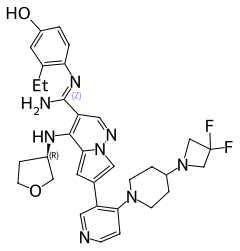 CCc1cc(O)ccc1/N=C(\N)c1cnn2cc(-c3cnccc3N3CCC(N4CC(F)(F)C4)CC3)cc2c1N[C@@H]1CCOC1